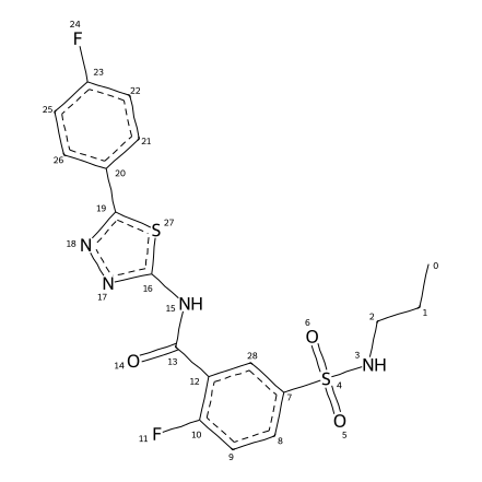 CCCNS(=O)(=O)c1ccc(F)c(C(=O)Nc2nnc(-c3ccc(F)cc3)s2)c1